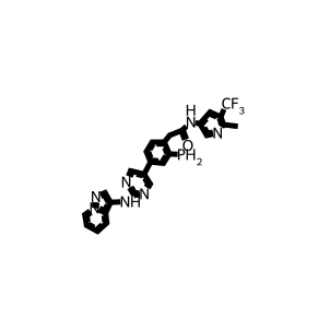 Cc1ncc(NC(=O)Cc2ccc(-c3cnc(Nc4cnn5ccccc45)nc3)cc2P)cc1C(F)(F)F